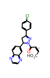 O=C(O)/C=C\C(=O)N1N=C(c2ccc(Cl)cc2)CC1c1ccc2nccnc2c1